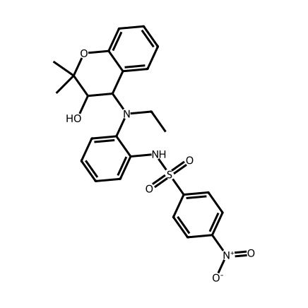 CCN(c1ccccc1NS(=O)(=O)c1ccc([N+](=O)[O-])cc1)C1c2ccccc2OC(C)(C)C1O